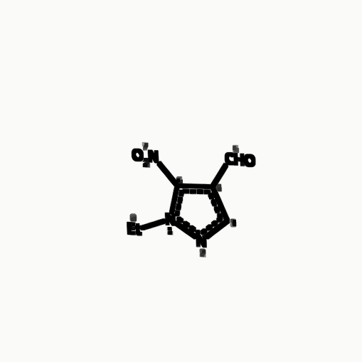 CCn1ncc(C=O)c1[N+](=O)[O-]